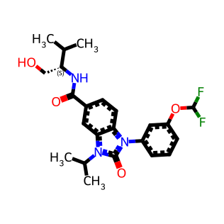 CC(C)[C@@H](CO)NC(=O)c1ccc2c(c1)n(C(C)C)c(=O)n2-c1cccc(OC(F)F)c1